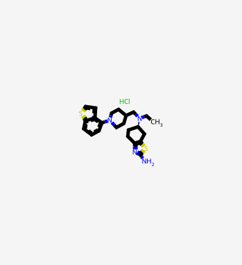 CCN(CC1CCN(c2cccc3sccc23)CC1)[C@H]1CCc2nc(N)sc2C1.Cl